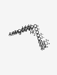 O.O.O.O.O.[Al+3].[Al+3].[Al+3].[Mg+2].[Mg+2].[Mg+2].[O-2].[O-2].[O-2].[O-2].[O-2]